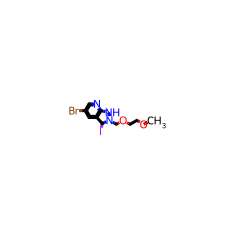 COCCOCN1Nc2ncc(Br)cc2C1I